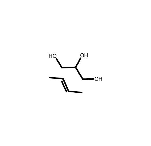 CC=CC.OCC(O)CO